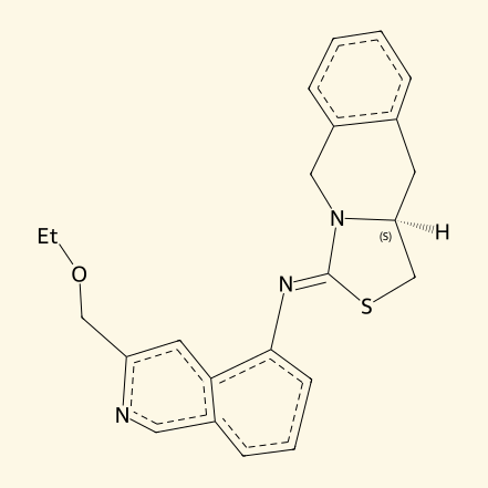 CCOCc1cc2c(N=C3SC[C@@H]4Cc5ccccc5CN34)cccc2cn1